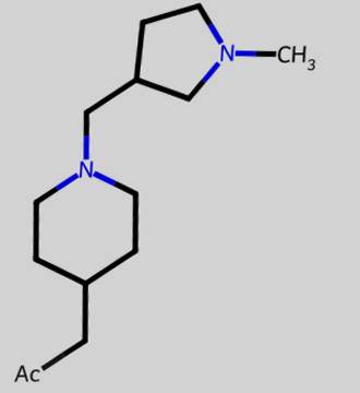 CC(=O)CC1CCN(CC2CCN(C)C2)CC1